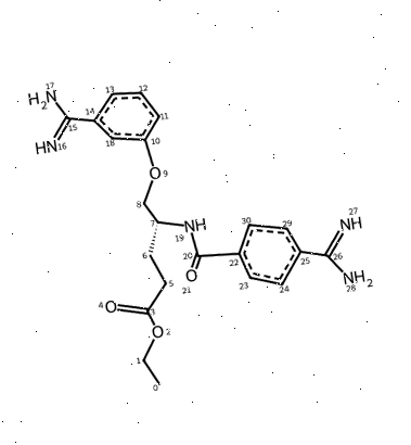 CCOC(=O)CC[C@H](COc1cccc(C(=N)N)c1)NC(=O)c1ccc(C(=N)N)cc1